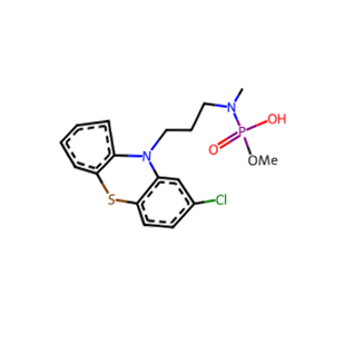 COP(=O)(O)N(C)CCCN1c2ccccc2Sc2ccc(Cl)cc21